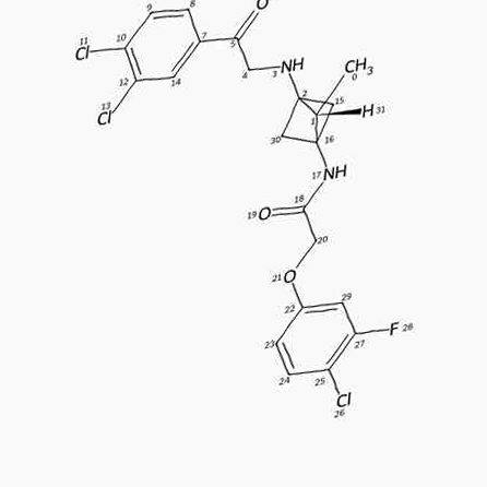 C[C@H]1C2(NCC(=O)c3ccc(Cl)c(Cl)c3)CC1(NC(=O)COc1ccc(Cl)c(F)c1)C2